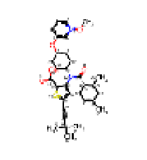 CO[n+]1cccc(O[C@H]2CC[C@H](N(C(=O)[C@H]3CC=C(C)C[C@@H]3C)c3cc(C#CC(C)(C)C)sc3C(=O)O)CC2)c1